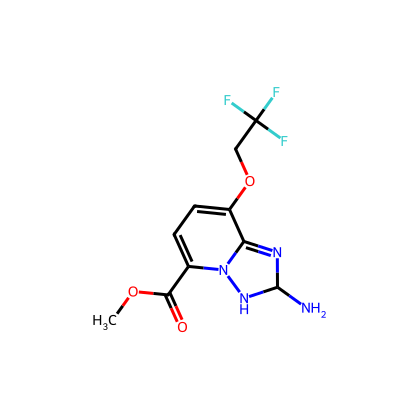 COC(=O)C1=CC=C(OCC(F)(F)F)C2=NC(N)NN12